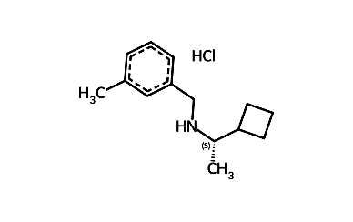 Cc1cccc(CN[C@@H](C)C2CCC2)c1.Cl